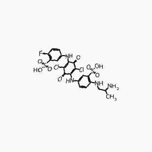 CC(N)CNc1ccc(NC2=C(Cl)C(=O)C(Nc3ccc(F)c(S(=O)(=O)O)c3)=C(Cl)C2=O)cc1S(=O)(=O)O